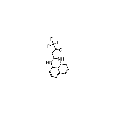 O=C(CC1NC2C=CC=C3C=CCC(N1)C32)C(F)(F)F